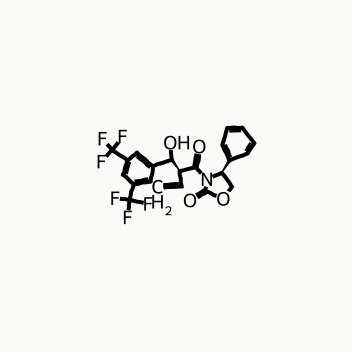 C=C[C@H](C(=O)N1C(=O)OC[C@@H]1c1ccccc1)C(O)c1cc(C(F)(F)F)cc(C(F)(F)F)c1